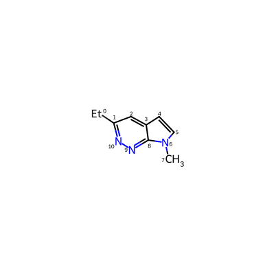 CCc1cc2ccn(C)c2nn1